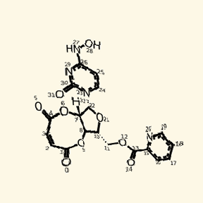 O=C1/C=C\C(=O)O[C@H]2C(O1)[C@@H](COC(=O)c1ccccn1)O[C@H]2n1ccc(NO)nc1=O